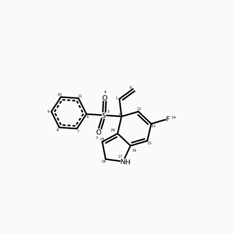 C=CC1(S(=O)(=O)c2ccccc2)C=C(F)C=C2NCC=C21